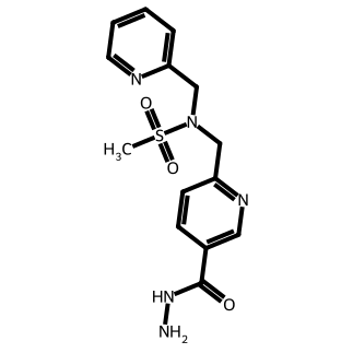 CS(=O)(=O)N(Cc1ccccn1)Cc1ccc(C(=O)NN)cn1